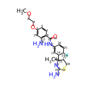 COCCOc1ccc(C(=O)NC2=CC([C@]3(C)CCSC(N)=N3)C(F)C=C2)c(N)c1